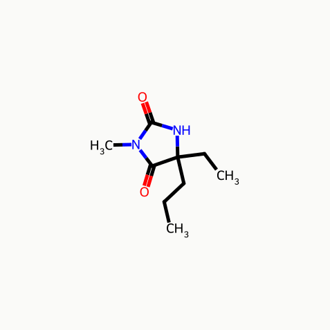 CCCC1(CC)NC(=O)N(C)C1=O